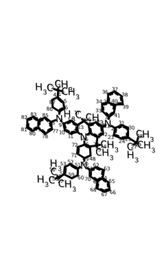 CC(C)(C)C1=CC=C(N(c2ccc3c(c2)C(C)(C)c2cc(N(c4ccc(C(C)(C)C)cc4)c4ccc5ccccc5c4)cc4c2N3C2=C(CC(N(C3=CC=C(C(C)(C)C)CC3)c3ccc5ccccc5c3)C=C2)C4(C)C)c2ccc3ccccc3c2)CC1